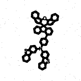 c1ccc2c(c1)-c1c(-c3ccc(N(c4ccc5sc6ccccc6c5c4)c4ccc5sc6ccccc6c5c4)cc3)cccc1C21c2ccc3ccccc3c2Oc2c1ccc1ccccc21